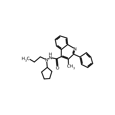 CCCN(NC(=O)c1c(C)c(-c2ccccc2)nc2ccccc12)C1CCCC1